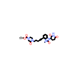 Cn1c(=O)n(C2CCC(=O)NC2=O)c2cccc(C#CCCCN3CCN(C(=O)OC(C)(C)C)CC3=O)c21